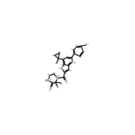 CC1(c2cc(-c3ccc(F)cc3)nc3cc(C(=O)N4CCNC(=O)C4(C)C)oc23)CC1